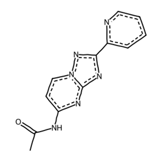 CC(=O)Nc1ccn2nc(-c3ccccn3)nc2n1